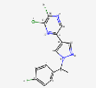 CC(c1ccc(F)cc1)n1cc(-c2cnc(F)c(Cl)n2)cn1